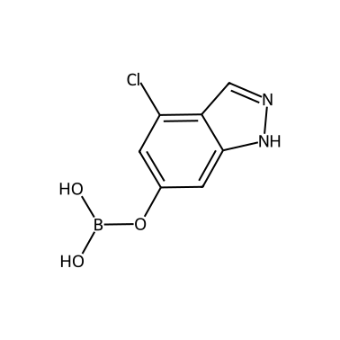 OB(O)Oc1cc(Cl)c2cn[nH]c2c1